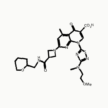 COCCN(C)c1nsc(-n2cc(C(=O)O)c(=O)c3c(C)cc(N4CC(C(=O)NCC5CCCCO5)C4)nc32)n1